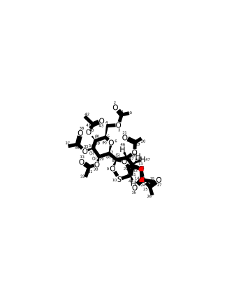 CC(=O)OC[C@H]1O[C@@H]([C@]23OS[C@@H]([C@H](OC(C)=O)[C@H]2OC(C)=O)[C@@H](COC(C)=O)O3)[C@@H](OC(C)=O)[C@@H](OC(C)=O)[C@@H]1OC(C)=O